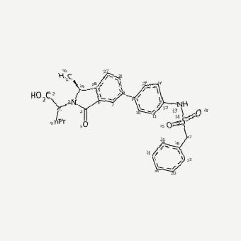 CCCC(C(=O)O)N1C(=O)c2cc(-c3ccc(NS(=O)(=O)Cc4ccccc4)cc3)ccc2[C@@H]1C